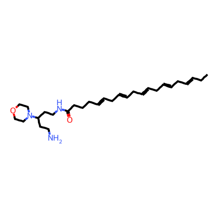 CCC=CCC=CCC=CCC=CCC=CCCCC(=O)NCCC(CCN)N1CCOCC1